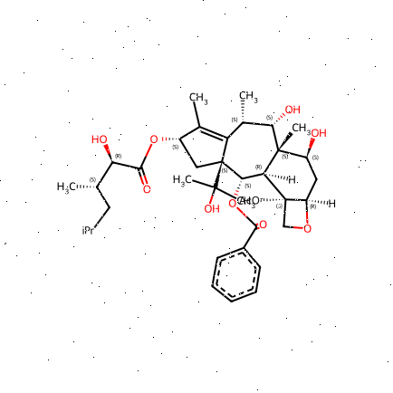 CC(=O)O[C@@]12CO[C@@H]1C[C@H](O)[C@]1(C)[C@@H]2[C@H](OC(=O)c2ccccc2)[C@]2(C(C)(C)O)C[C@H](OC(=O)[C@H](O)[C@@H](C)CC(C)C)C(C)=C2[C@H](C)[C@@H]1O